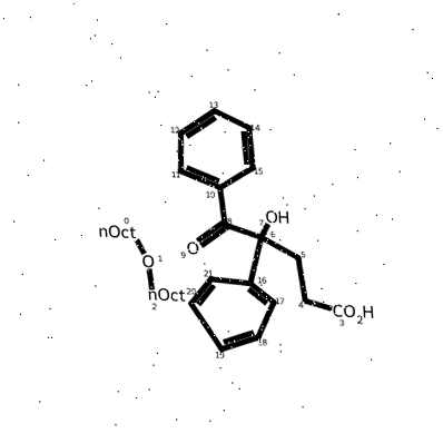 CCCCCCCCOCCCCCCCC.O=C(O)CCC(O)(C(=O)c1ccccc1)c1ccccc1